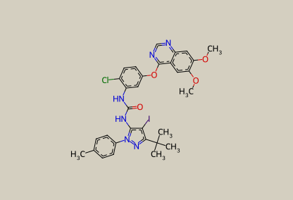 COc1cc2ncnc(Oc3ccc(Cl)c(NC(=O)Nc4c(I)c(C(C)(C)C)nn4-c4ccc(C)cc4)c3)c2cc1OC